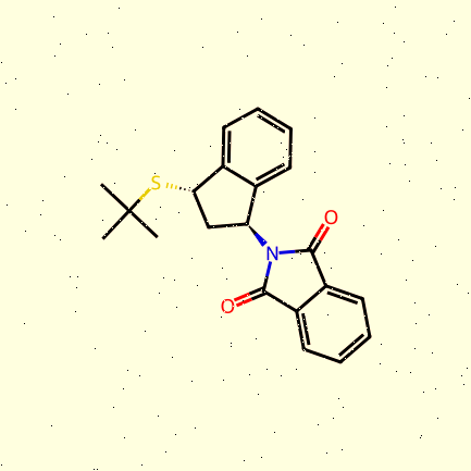 CC(C)(C)S[C@H]1C[C@H](N2C(=O)c3ccccc3C2=O)c2ccccc21